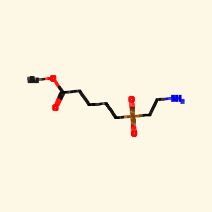 CC(C)(C)OC(=O)CCCCS(=O)(=O)CCN